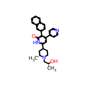 C[C@@H]1CC(c2cc(-c3ccncc3)c(-c3ccc4ccccc4c3)c(=O)[nH]2)CCN1C[C@@H](C)O